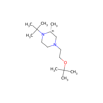 C[C@@H]1CN(CCOC(C)(C)C)CCN1C(C)(C)C